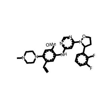 C=Cc1cc(Nc2cc(N3OCCC3c3cccc(F)c3F)ncn2)c(OC)cc1N1CCN(C)CC1